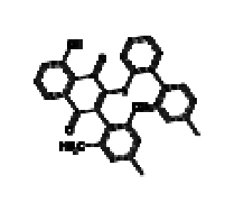 COc1cc(C)cc(C(=O)O)c1C1=C(Sc2ccccc2-c2ccc(C)cc2)C(=O)c2c(O)cccc2C1=O